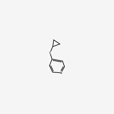 c1cc(SC2CC2)ccn1